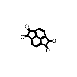 O=C1C(=O)c2ccc3c4c(ccc1c24)C(=O)C3=O